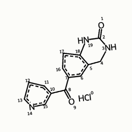 Cl.O=C1NCc2cc(C(=O)c3cccnc3)ccc2N1